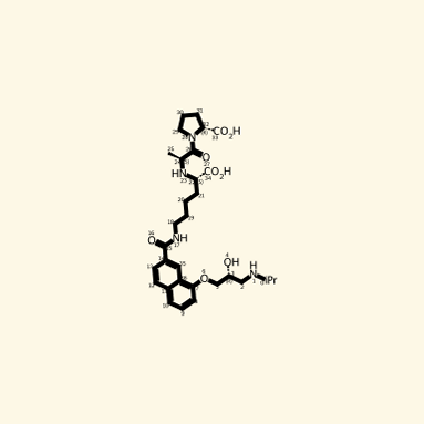 CC(C)NC[C@@H](O)COc1cccc2ccc(C(=O)NCCCC[C@H](N[C@@H](C)C(=O)N3CCC[C@@H]3C(=O)O)C(=O)O)cc12